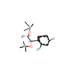 CC[C@H](O[Si](C)(C)C)[C@@H](O[Si](C)(C)C)c1ccc(Cl)cc1Cl